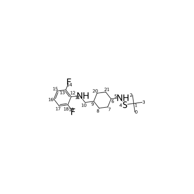 CC(C)(C)SNC1CCC(CNc2c(F)cccc2F)CC1